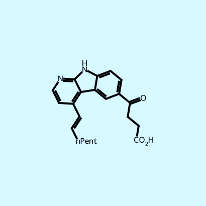 CCCCC/C=C/c1ccnc2[nH]c3ccc(C(=O)CCC(=O)O)cc3c12